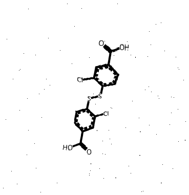 O=C(O)c1ccc(SSc2ccc(C(=O)O)cc2Cl)c(Cl)c1